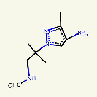 Cc1nn(C(C)(C)CNC=O)cc1N